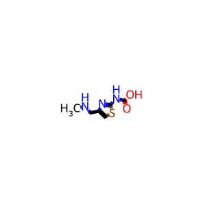 CNCc1csc(NC(=O)O)n1